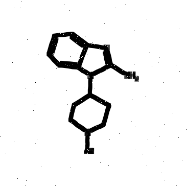 CC(=O)N1CCC(n2c(N)nc3ccccc32)CC1